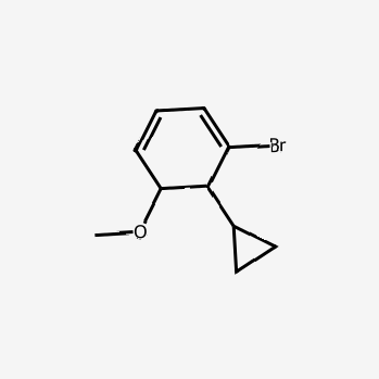 COC1C=CC=C(Br)C1C1CC1